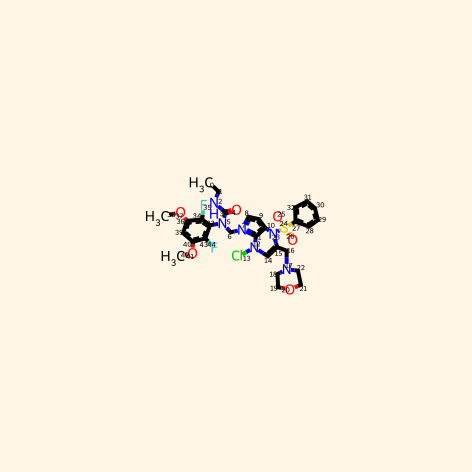 CCNC(=O)N(Cn1ccc2c1N(Cl)C=C(CN1CCOCC1)N2S(=O)(=O)c1ccccc1)c1c(F)c(OC)cc(OC)c1F